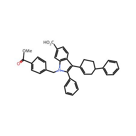 COC(=O)c1ccc(Cn2c(-c3ccccc3)c(C3=CCC(c4ccccc4)CC3)c3ccc(C(=O)O)cc32)cc1